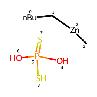 CCCC[CH2][Zn][CH3].OP(O)(=S)S